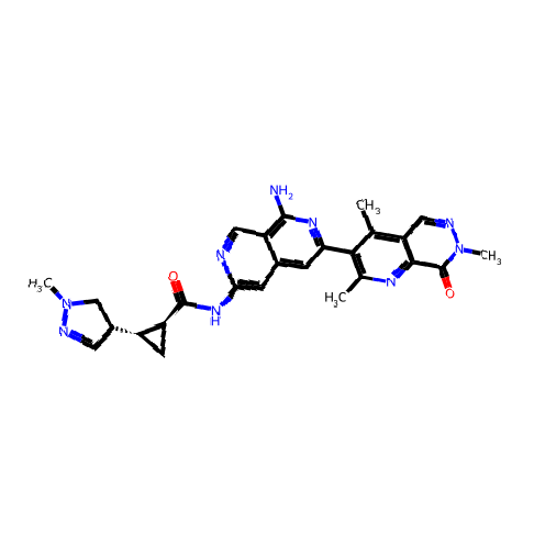 Cc1nc2c(=O)n(C)ncc2c(C)c1-c1cc2cc(NC(=O)[C@H]3C[C@@H]3C3C=NN(C)C3)ncc2c(N)n1